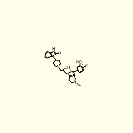 CC(=O)N1CCc2c(c(-c3ccc(Cl)c([N+](=O)[O-])c3)nn2CC(O)CN2CCC(n3c(=O)[nH]c4ccccc43)CC2)C1